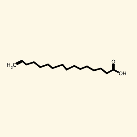 C=CCCCCCCCCCCCCCC(=O)O